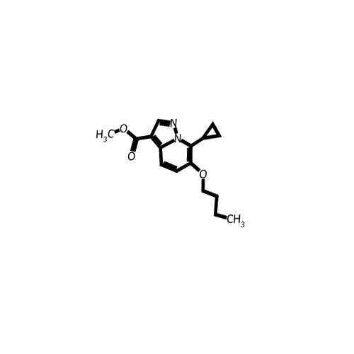 CCCCOc1ccc2c(C(=O)OC)cnn2c1C1CC1